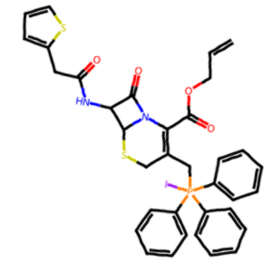 C=CCOC(=O)C1=C(CP(I)(c2ccccc2)(c2ccccc2)c2ccccc2)CSC2C(NC(=O)Cc3cccs3)C(=O)N12